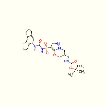 CC(C)(C)OC(=O)NCC1COc2c(S(=O)(=O)NC(=O)Nc3cc4c(c5c3CCC5)CCC4)cnn2C1